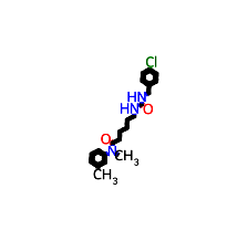 Cc1cccc(N(C)C(=O)CCCCCNC(=O)NCc2ccc(Cl)cc2)c1